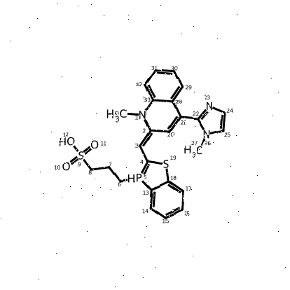 CN1/C(=C/C2=[PH](CCCS(=O)(=O)O)c3ccccc3S2)C=C(c2nccn2C)c2ccccc21